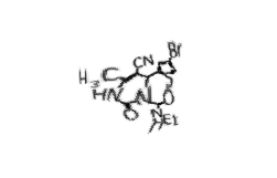 CCNC(=O)N1C(=O)NC(C)=C(C#N)C1c1cc(Br)cs1